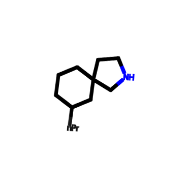 CCCC1CCCC2(CCNC2)C1